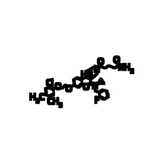 Cc1cc(Cl)c(OCCOc2ccc(C3=C(C(=O)N(Cc4ccccc4F)C4CC4)C4CN(C(=O)CCCC(N)=O)CC(C3)N4)cc2)cc1C